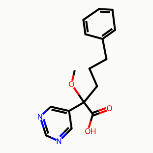 COC(CCCc1ccccc1)(C(=O)O)c1cncnc1